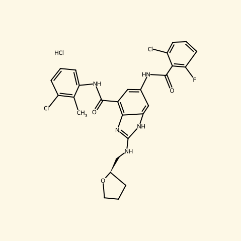 Cc1c(Cl)cccc1NC(=O)c1cc(NC(=O)c2c(F)cccc2Cl)cc2[nH]c(NC[C@H]3CCCO3)nc12.Cl